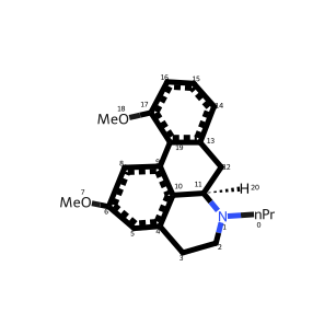 CCCN1CCc2cc(OC)cc3c2[C@H]1Cc1cccc(OC)c1-3